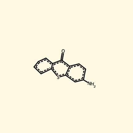 Nc1ccc2c(=O)c3ccccc3sc2c1